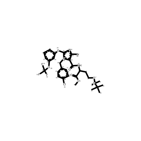 COC(=O)C(CCO[Si](C)(C)C(C)(C)C)NC(=O)c1c(Br)nc(Oc2cccc(OC(F)(F)F)c2)n1Cc1ccc(Cl)cc1